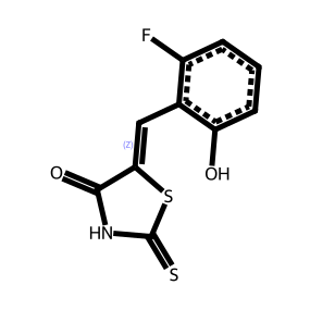 O=C1NC(=S)S/C1=C\c1c(O)cccc1F